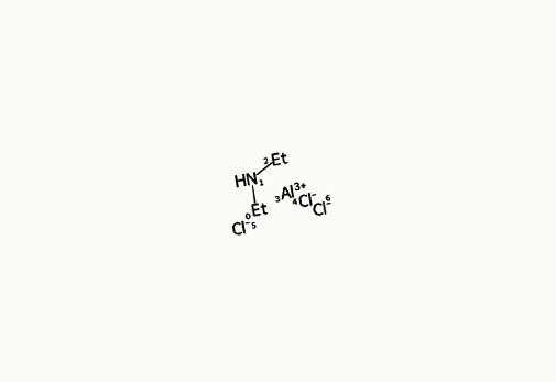 CCNCC.[Al+3].[Cl-].[Cl-].[Cl-]